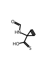 O=CNC1(C(O)=S)C#C1